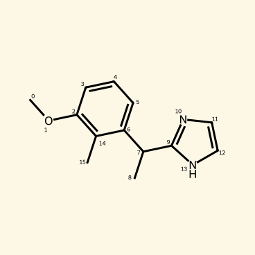 COc1cccc(C(C)c2ncc[nH]2)c1C